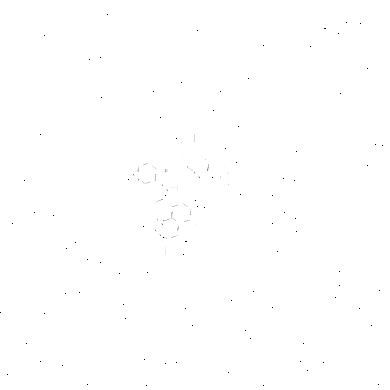 C[C@@H]1C[C@H](NC(=O)OC(C)(C)C)C[C@H](c2ccncc2NC(=O)c2ccc(F)c3cc(I)nnc23)C1